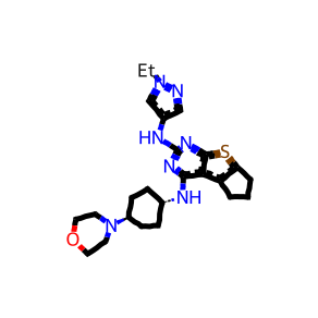 CCn1cc(Nc2nc(N[C@H]3CC[C@H](N4CCOCC4)CC3)c3c4c(sc3n2)CCC4)cn1